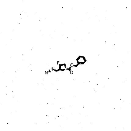 [N-]=[N+]=NCC1CN(C(=O)OCc2ccccc2)CC1F